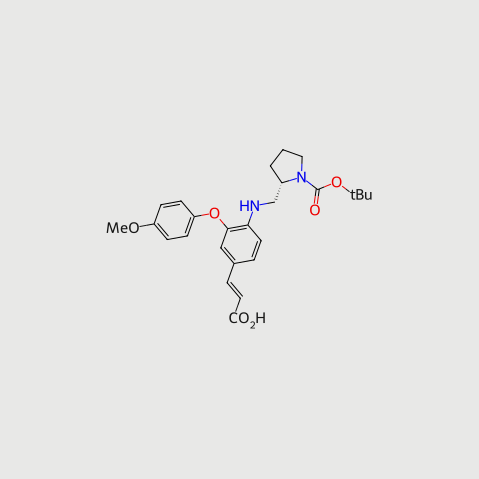 COc1ccc(Oc2cc(/C=C/C(=O)O)ccc2NC[C@@H]2CCCN2C(=O)OC(C)(C)C)cc1